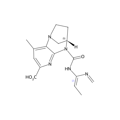 C=N/C(=C\C)NC(=O)N1c2nc(C(=O)O)cc(C)c2N2CC[C@H]1C2